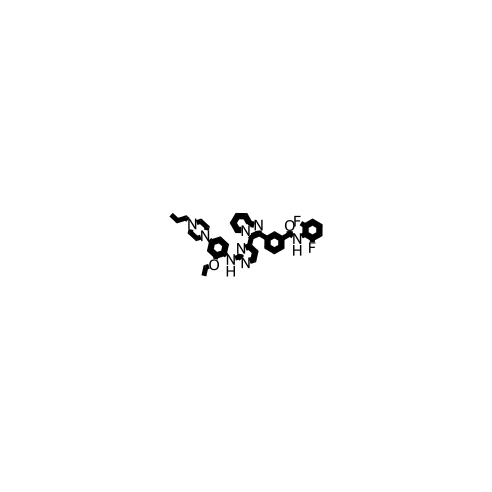 CCCN1CCN(c2ccc(Nc3nccc(-c4c(-c5cccc(C(=O)Nc6c(F)cccc6F)c5)nc5ccccn45)n3)c(OCC)c2)CC1